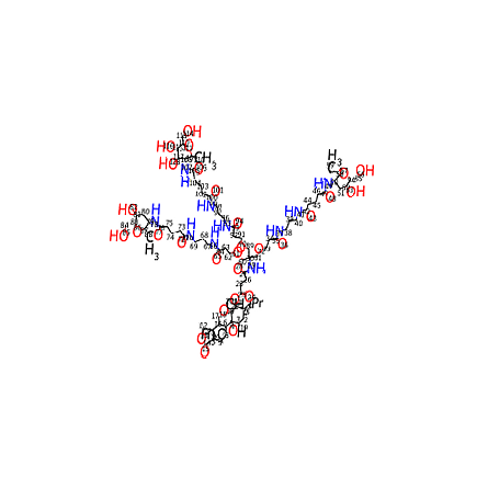 CC(C)C1C[C@@H]2O[C@@]23[C@@]2(C)CCC4=C(COC4=O)C2CO[C@]3(C)[C@@H]1OC(=O)CCC(=O)NC(COCCC(=O)NCCCNC(=O)CCCC(=O)N[C@@H]1C[C@H](O)[C@@H](CO)OC1C)(COCCC(=O)NCCCNC(=O)CCCC(=O)N[C@@H]1C[C@H](O)[C@@H](CO)OC1C)COCCC(=O)NCCCNC(=O)CCCC(=O)N[C@H]1C(C)O[C@H](CO)[C@@H](O)[C@@H]1O